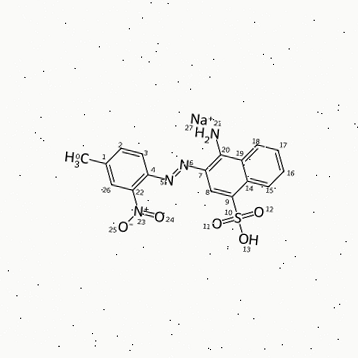 Cc1ccc(N=Nc2cc(S(=O)(=O)O)c3ccccc3c2N)c([N+](=O)[O-])c1.[Na+]